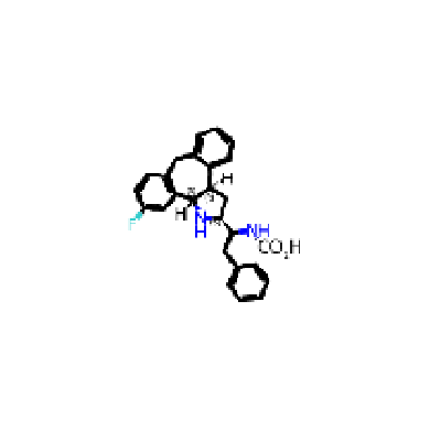 O=C(O)NC(Cc1ccccc1)[C@@H]1C[C@@H]2c3ccccc3Cc3ccc(F)cc3[C@H]2N1